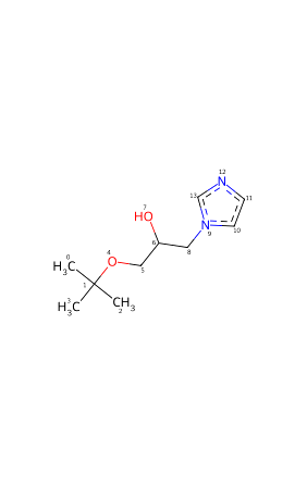 CC(C)(C)OCC(O)Cn1ccnc1